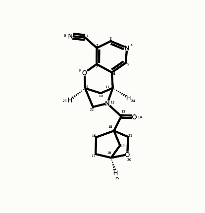 N#Cc1cncc2c1O[C@H]1C[C@@H]2N(C(=O)C23CC[C@@H](C2)OC3)C1